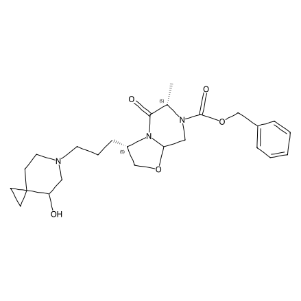 C[C@H]1C(=O)N2C(CN1C(=O)OCc1ccccc1)OC[C@@H]2CCCN1CCC2(CC2)C(O)C1